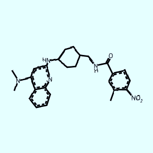 Cc1cc(C(=O)NCC2CCC(Nc3cc(N(C)C)c4ccccc4n3)CC2)ccc1[N+](=O)[O-]